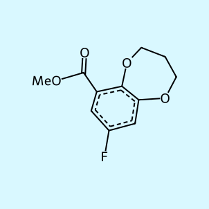 COC(=O)c1cc(F)cc2c1OCCCO2